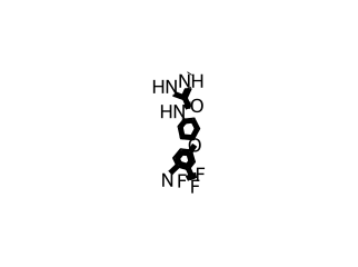 CN/C=C(\C=N)C(=O)N[C@H]1CC[C@H](Oc2ccc(C#N)c(C(F)(F)F)c2)CC1